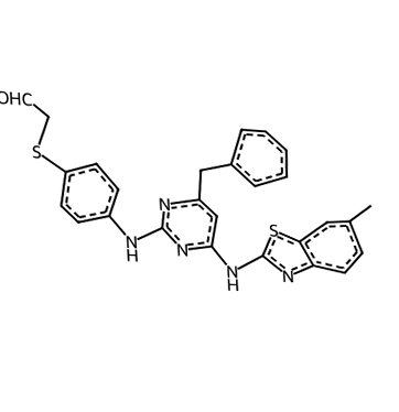 Cc1ccc2nc(Nc3cc(Cc4ccccc4)nc(Nc4ccc(SCC=O)cc4)n3)sc2c1